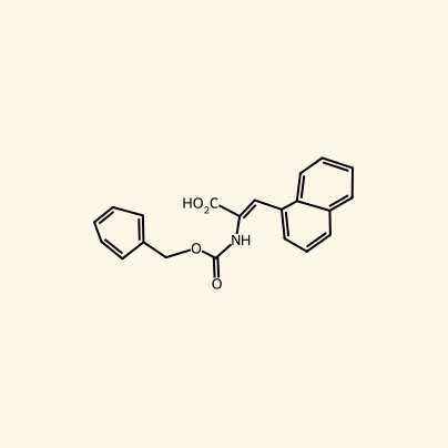 O=C(NC(=Cc1cccc2ccccc12)C(=O)O)OCc1ccccc1